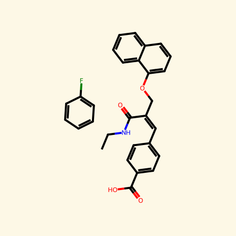 CCNC(=O)C(=Cc1ccc(C(=O)O)cc1)COc1cccc2ccccc12.Fc1ccccc1